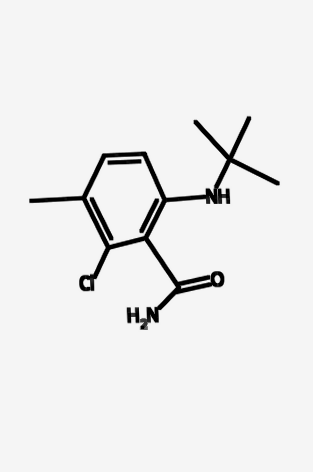 Cc1ccc(NC(C)(C)C)c(C(N)=O)c1Cl